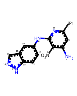 CC(C)c1cc(N)c([N+](=O)[O-])c(Nc2ccc3[nH]ncc3c2)n1